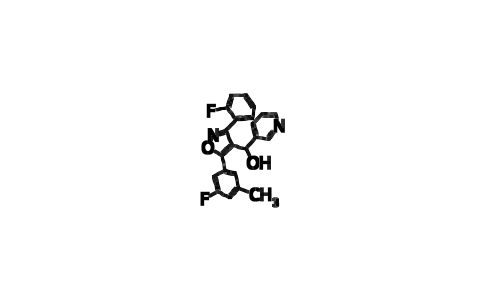 Cc1cc(F)cc(-c2onc(-c3ccccc3F)c2C(O)c2cccnc2)c1